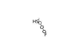 CC[SiH]1CCC(c2ccc(-c3ccc(F)cc3)cc2)CC1